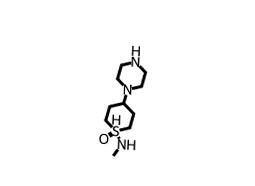 CN[SH]1(=O)CCC(N2CCNCC2)CC1